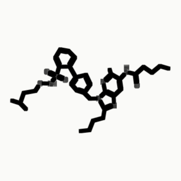 CCCCC(=O)Nc1cc2nc(CCCC)n(Cc3ccc(-c4ccccc4S(=O)(=O)NOCCC(C)C)cc3)c2nc1C